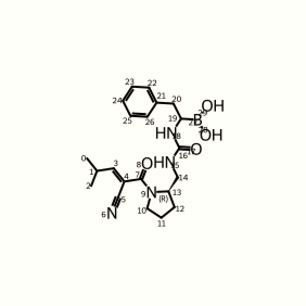 CC(C)C=C(C#N)C(=O)N1CCC[C@@H]1CNC(=O)NC(Cc1ccccc1)B(O)O